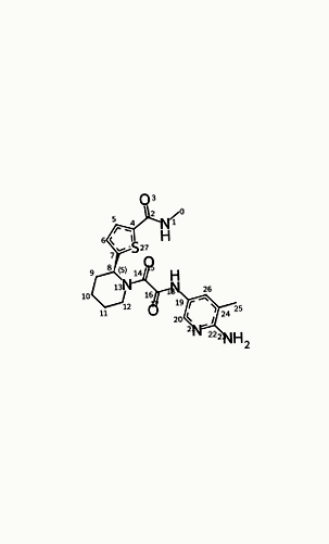 CNC(=O)c1ccc([C@@H]2CCCCN2C(=O)C(=O)Nc2cnc(N)c(C)c2)s1